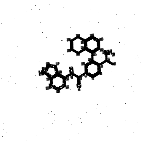 CC(N)c1ccc(C(=O)Nc2ccnc3[nH]ccc23)cc1-c1cccc2c1CC=CC2